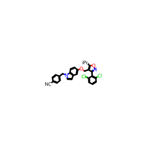 CC(C)c1onc(-c2c(Cl)cccc2Cl)c1COc1ccc2c(ccn2Cc2ccc(C#N)cc2)c1